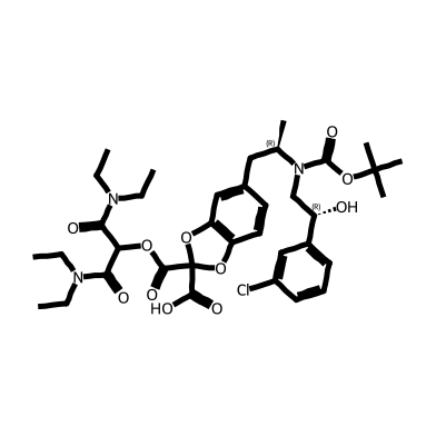 CCN(CC)C(=O)C(OC(=O)C1(C(=O)O)Oc2ccc(C[C@@H](C)N(C[C@H](O)c3cccc(Cl)c3)C(=O)OC(C)(C)C)cc2O1)C(=O)N(CC)CC